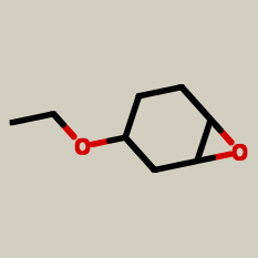 CCOC1CCC2OC2C1